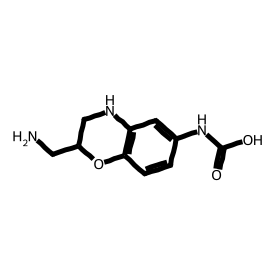 NCC1CNc2cc(NC(=O)O)ccc2O1